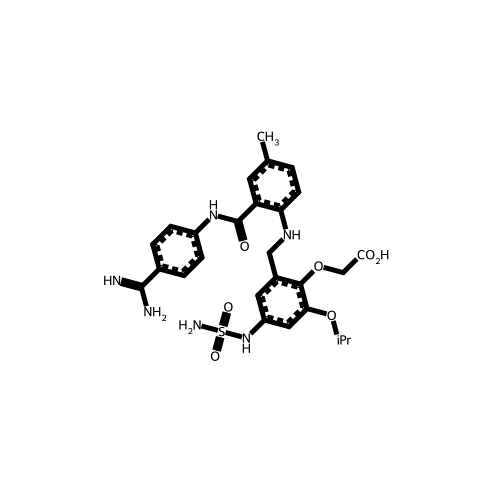 Cc1ccc(NCc2cc(NS(N)(=O)=O)cc(OC(C)C)c2OCC(=O)O)c(C(=O)Nc2ccc(C(=N)N)cc2)c1